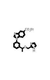 CCOC(=O)c1ccc2c(c1)ncn2-c1cccc(C(C)OCc2ncc[nH]2)c1